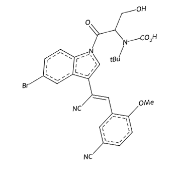 COc1ccc(C#N)cc1/C=C(\C#N)c1cn(C(=O)C(CO)N(C(=O)O)C(C)(C)C)c2ccc(Br)cc12